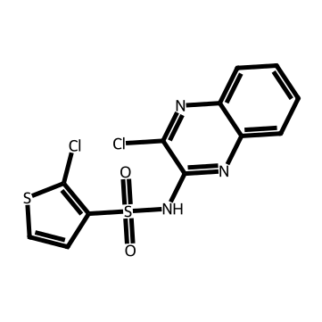 O=S(=O)(Nc1nc2ccccc2nc1Cl)c1ccsc1Cl